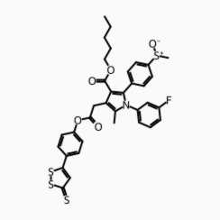 CCCCCOC(=O)c1c(CC(=O)Oc2ccc(-c3cc(=S)ss3)cc2)c(C)n(-c2cccc(F)c2)c1-c1ccc([S+](C)[O-])cc1